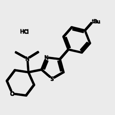 CN(C)C1(c2nc(-c3ccc(C(C)(C)C)cc3)cs2)CCOCC1.Cl